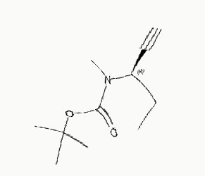 C#C[C@@H](CC)N(C)C(=O)OC(C)(C)C